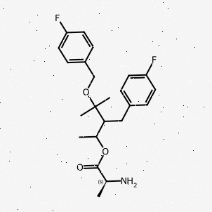 CC(OC(=O)[C@H](C)N)C(Cc1ccc(F)cc1)C(C)(C)OCc1ccc(F)cc1